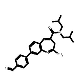 CC(C)CN(CC(C)C)C(=O)C1=Cc2ccc(-c3ccc(C=O)cc3)cc2N=C(N)C1